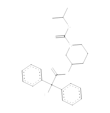 CC(C)NC(=O)N1CCCC(OC(=O)C(O)(c2ccccc2)c2ccccc2)C1